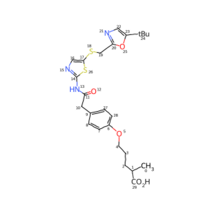 CC(CCCOc1ccc(CC(=O)Nc2ncc(SCc3ncc(C(C)(C)C)o3)s2)cc1)C(=O)O